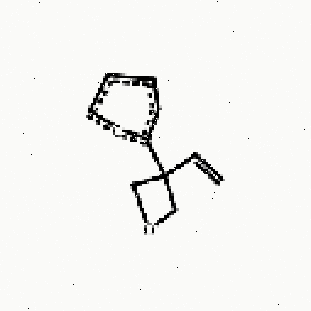 C=CC1(c2ccccc2)COC1